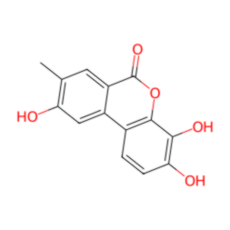 Cc1cc2c(=O)oc3c(O)c(O)ccc3c2cc1O